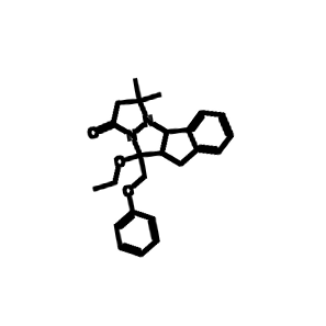 CCOC1(COc2ccccc2)C2Cc3ccccc3C2N2N1C(=O)CC2(C)C